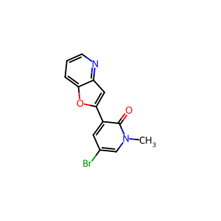 Cn1cc(Br)cc(-c2cc3ncccc3o2)c1=O